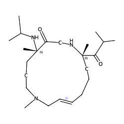 CC(C)N[C@@]1(C)CCCN(C)C/C=C/CCC[C@@](C)(C(=O)C(C)C)NCC1=O